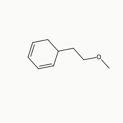 COCCC1C=CC=CC1